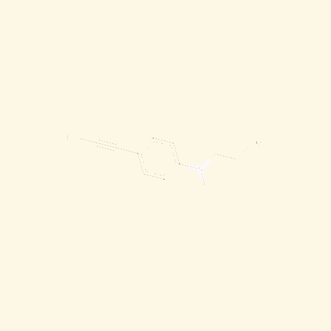 CC#Cc1ccc(N(C)CCOC)cc1